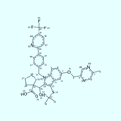 Cc1cnc(COc2ccc3c(c2)c(SC(C)(C)C)c(C(O)C2(C(=O)O)CCCC2)n3Cc2ccc(-c3ccc(C(F)(F)F)cn3)cc2)cn1